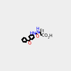 CC[C@@H](CC(=O)O)NC(=O)Nc1ccc(C(=O)c2ccccc2)cc1